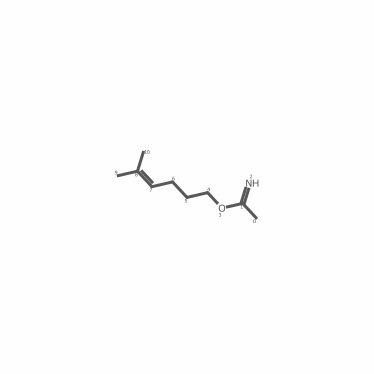 CC(=N)OCCCC=C(C)C